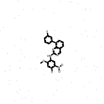 COc1cc(F)c([N+](=O)[O-])cc1Nc1ncc2cccc(-c3cccc(F)c3)c2n1